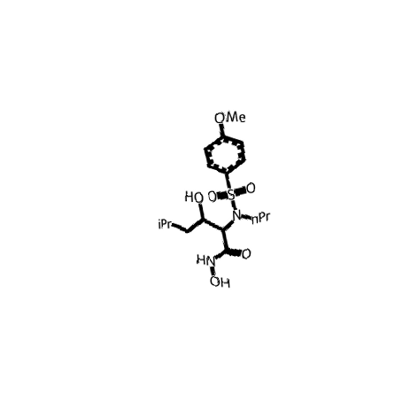 CCCN(C(C(=O)NO)C(O)CC(C)C)S(=O)(=O)c1ccc(OC)cc1